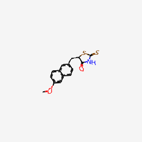 COc1ccc2cc(CC3SC(=S)NC3=O)ccc2c1